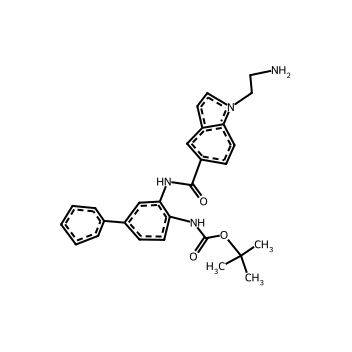 CC(C)(C)OC(=O)Nc1ccc(-c2ccccc2)cc1NC(=O)c1ccc2c(ccn2CCN)c1